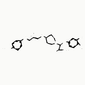 COc1ccc(OC[C@H](O)CNC2CCN(C(Oc3ccc(Cl)c(Cl)c3)C(C)O)CC2)cc1